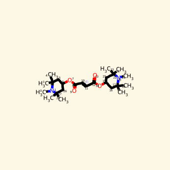 CN1C(C)(C)CC(OC(=O)/C=C/C(=O)OC2CC(C)(C)N(C)C(C)(C)C2)CC1(C)C